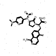 COC(=O)[C@@H](Cc1ccc2c(N)nccc2c1F)N1CC[C@H](N(c2ccc(N(C)C)nc2)[SH](=O)=O)C1=O